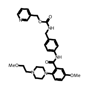 COCCN1CCN(c2ccc(OC)cc2C(=O)Nc2ccc(CNC(=O)OCc3cccnc3)cc2)CC1